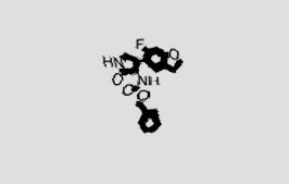 O=C(N[C@@H]1C(=O)NC[C@H]1c1cc2c(cc1F)OCC2)OCc1ccccc1